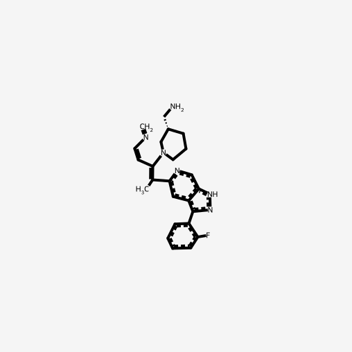 C=N/C=C\C(=C(/C)c1cc2c(-c3ccccc3F)n[nH]c2cn1)N1CCC[C@@H](CN)C1